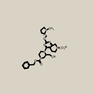 CN1CCC[C@H]1COc1nc2c(c(N3CCN(C(=O)OCc4ccccc4)CC3CC#N)n1)CCN(C(=O)O)C2